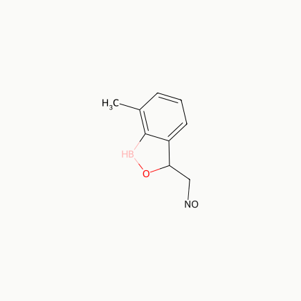 Cc1cccc2c1BOC2CN=O